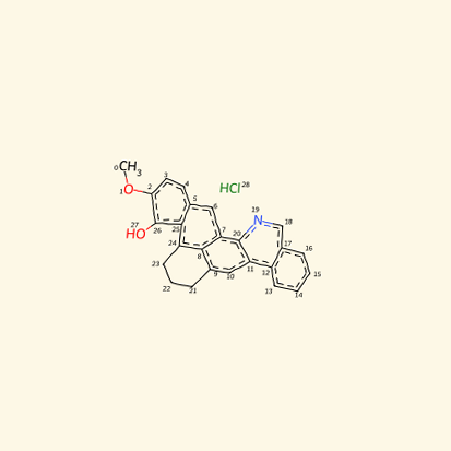 COc1ccc2cc3c4c(cc5c6ccccc6cnc35)CCCc4c2c1O.Cl